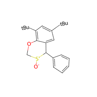 CC(C)(C)c1cc2c(c(C(C)(C)C)c1)OC[S+]([O-])C2c1ccccc1